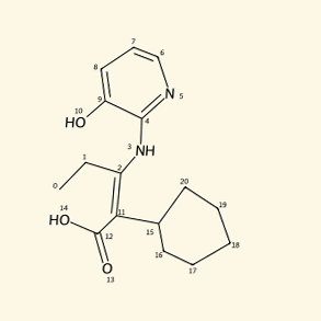 CC/C(Nc1ncccc1O)=C(\C(=O)O)C1CCCCC1